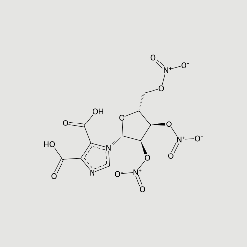 O=C(O)c1ncn([C@@H]2O[C@H](CO[N+](=O)[O-])[C@@H](O[N+](=O)[O-])[C@H]2O[N+](=O)[O-])c1C(=O)O